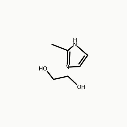 Cc1ncc[nH]1.OCCO